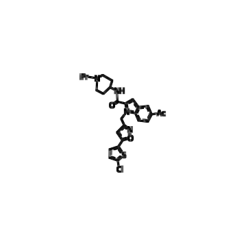 CC(=O)c1ccc2c(c1)cc(C(=O)NC1CCN(C(C)C)CC1)n2Cc1cc(-c2ccc(Cl)s2)on1